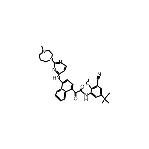 COc1c(C#N)cc(C(C)(C)C)cc1NC(=O)C(=O)c1ccc(Nc2ccnc(N3CCCN(C)CC3)n2)c2ccccc12